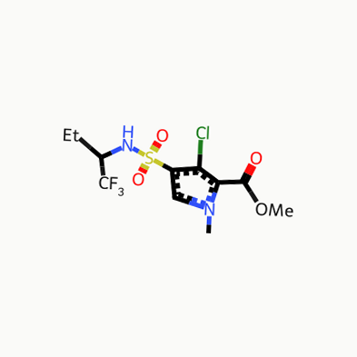 CCC(NS(=O)(=O)c1cn(C)c(C(=O)OC)c1Cl)C(F)(F)F